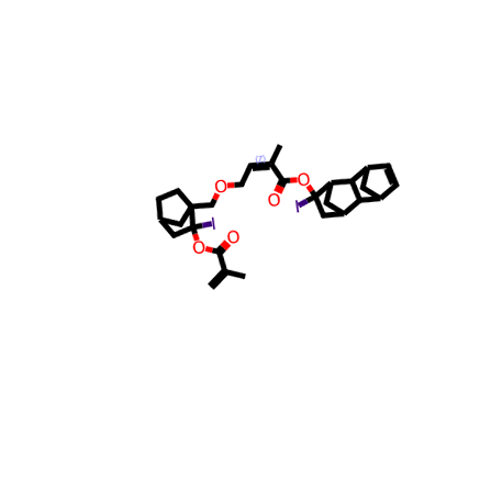 C=C(C)C(=O)OC1(I)CC2CCC1(COC/C=C(/C)C(=O)OC1(I)CC3CC1C1C4C=CC(C4)C31)C2